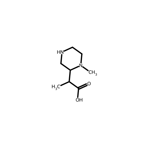 CC(C(=O)O)C1CNCCN1C